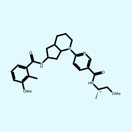 COC[C@H](C)NC(=O)c1ccc(N2CCCC3CC(NC(=O)c4cccc(OC)c4C)CC32)nc1